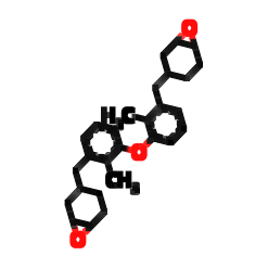 Cc1c(CC2CCC3OC3C2)cccc1Oc1cccc(CC2CCC3OC3C2)c1C